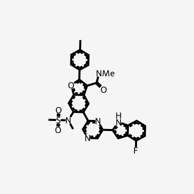 CNC(=O)c1c(-c2ccc(C)cc2)oc2cc(N(C)S(C)(=O)=O)c(-c3cncc(-c4cc5c(F)cccc5[nH]4)n3)cc12